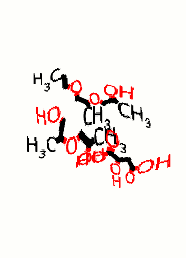 CC(O)COC(C)CO.CCCOCC(C)OCC(C)O.O=C(O)CC(O)C(=O)O